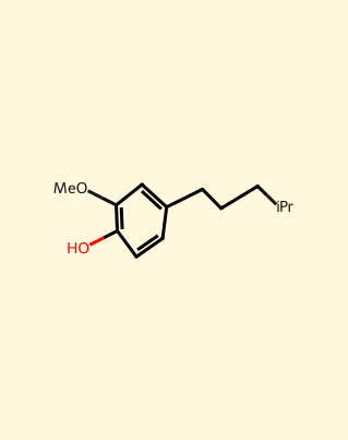 COc1cc(CCCC(C)C)ccc1O